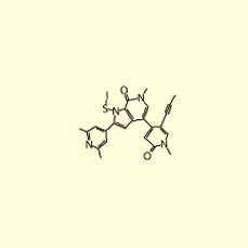 CC#Cc1cn(C)c(=O)cc1-c1cn(C)c(=O)c2c1cc(-c1cc(C)nc(C)c1)n2SI